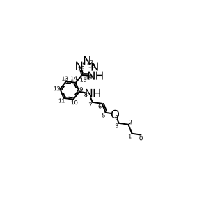 CCCCOC=CCNc1ccccc1-c1nnn[nH]1